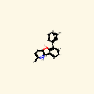 Cc1ccc2oc3c(-c4ccccc4)cccc3c2n1